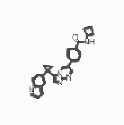 O=C(NC1CCC1)c1ccc(-c2cnc3ncc(C4(c5ccc6ncccc6c5)CC4)n3c2)cc1